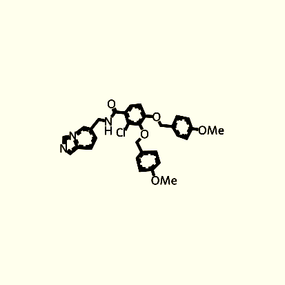 COc1ccc(COc2ccc(C(=O)NCc3ccc4cncn4c3)c(Cl)c2OCc2ccc(OC)cc2)cc1